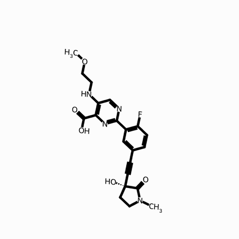 COCCNc1cnc(-c2cc(C#C[C@]3(O)CCN(C)C3=O)ccc2F)nc1C(=O)O